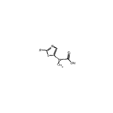 CN(C(=O)O)c1cnc(Br)s1